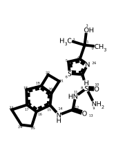 CC(C)(O)c1csc([SH](N)(=O)NC(=O)Nc2c3c(cc4c2CC4)CCC3)n1